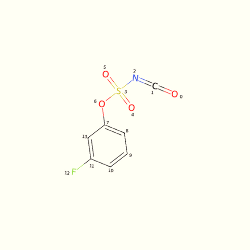 O=C=NS(=O)(=O)Oc1cccc(F)c1